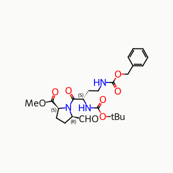 COC(=O)[C@@H]1CC[C@H](C=O)N1C(=O)[C@H](CCNC(=O)OCc1ccccc1)NC(=O)OC(C)(C)C